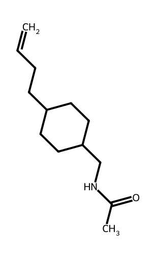 C=CCCC1CCC(CNC(C)=O)CC1